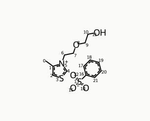 Cc1csc[n+]1CCOCCO.O=S(=O)([O-])c1ccccc1